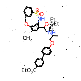 C.CCOC(=O)c1ccc(-c2ccc(OCC(C)NCC(O[Si](CC)(CC)CC)c3ccc4cc3NS(=O)(=O)c3cccc(c3)CO4)cc2)cc1